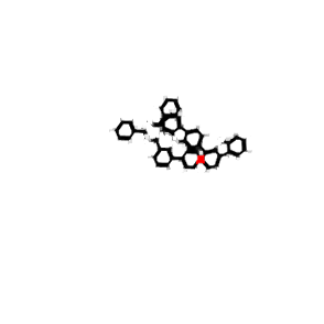 c1ccc(-c2nc(-c3ccccc3)nc(-c3cccc(-c4ccccc4)c3-n3c4ccccc4c4ccc(-c5cccc6c5sc5ccccc56)cc43)n2)cc1